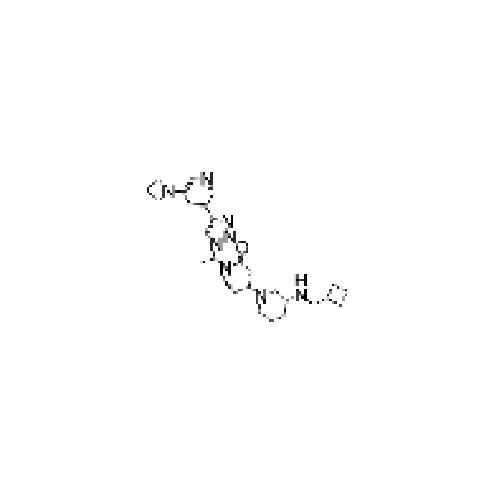 CC(n1cc(-c2cncc(N3CCC3)c2)nn1)n1ccc(N2CCC[C@@H](NCC3CCC3)C2)cc1=O